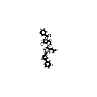 CC(C)CC(NC(=O)c1ccc(-c2ccccc2)s1)C(=O)N1CCC2C1C(=O)CN2C(=O)C1CCCCC1